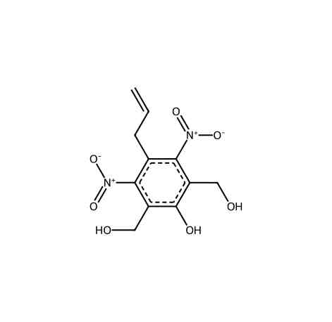 C=CCc1c([N+](=O)[O-])c(CO)c(O)c(CO)c1[N+](=O)[O-]